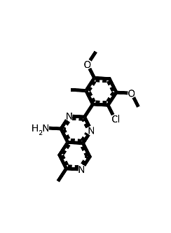 COc1cc(OC)c(Cl)c(-c2nc(N)c3cc(C)ncc3n2)c1C